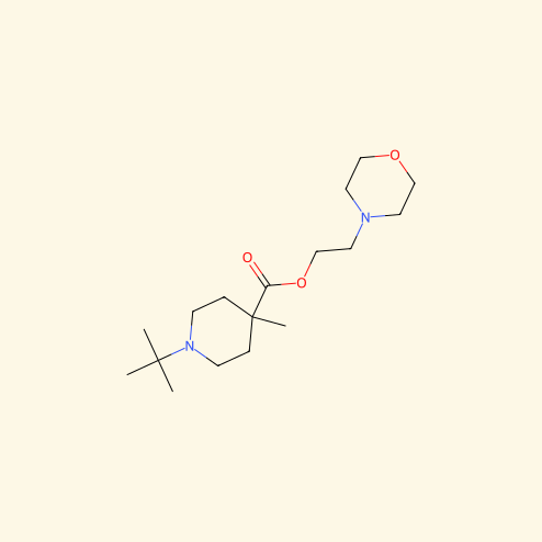 CC1(C(=O)OCCN2CCOCC2)CCN(C(C)(C)C)CC1